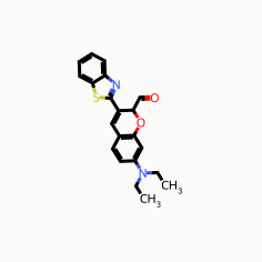 CCN(CC)c1ccc2c(c1)OC(C=O)C(c1nc3ccccc3s1)=C2